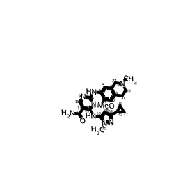 COc1cc2c(cc1Nc1ncc(C(N)=O)c(Nc3cc(C4CC4)nn3C)n1)CN(C)CC2